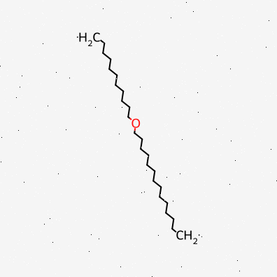 [CH2]CCCCCCCCCCCCCOCCCCCCCCCC[CH2]